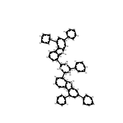 c1ccc(-c2cc(-c3ccccc3)c3c(c2)sc2c(-c4nc(-c5ccccc5)nc(-c5cccc6c5sc5cc(-c7ccccc7)cc(-c7ccccc7)c56)n4)cccc23)cc1